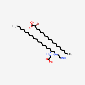 CCCCCCCCCCCCCCCCC(Br)C(=O)O.CCCCCCCCCCCCCCCCC(CNCCN)NCC(=O)O